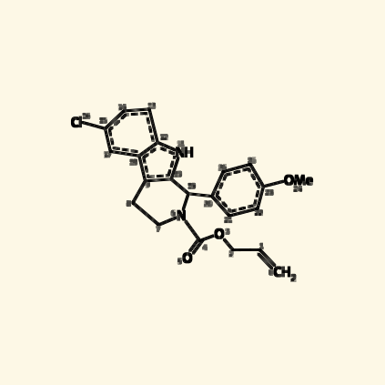 C=CCOC(=O)N1CCc2c([nH]c3ccc(Cl)cc23)C1c1ccc(OC)cc1